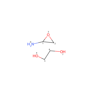 NC1CO1.OCCO